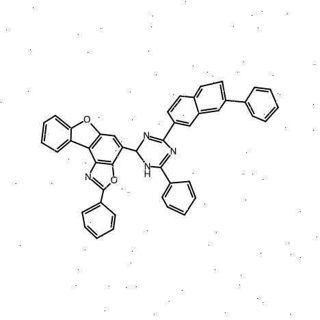 c1ccc(C2=NC(c3ccc4ccc(-c5ccccc5)cc4c3)=NC(c3cc4oc5ccccc5c4c4nc(-c5ccccc5)oc34)N2)cc1